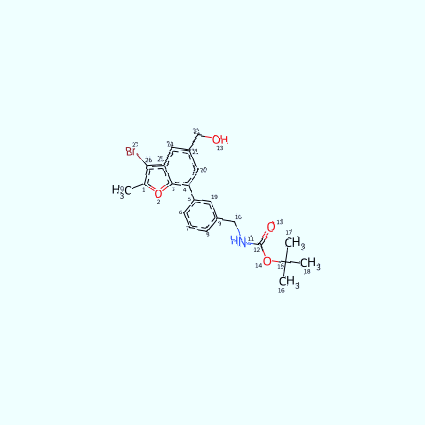 Cc1oc2c(-c3cccc(CNC(=O)OC(C)(C)C)c3)cc(CO)cc2c1Br